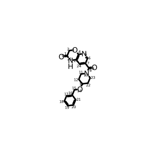 O=C1COc2ncc(C(=O)N3CCC(OCc4ccccc4)CC3)cc2N1